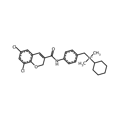 C[N+](C)(Cc1ccc(NC(=O)C2=Cc3cc(Cl)cc(Cl)c3OC2)cc1)C1CCCCC1